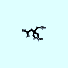 CCC(CC)CC(COC)(COC)CC(C)C